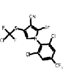 N#Cc1c(SC(F)(F)Cl)cn(-c2c(Cl)cc(C(F)(F)F)cc2Cl)c1Br